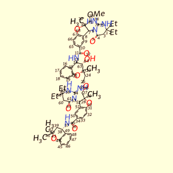 CCC1(CC)CC(=O)N([C@H]2c3cc(C(=O)N[C@@H]4c5ccccc5OC(C)(CCOCC5(C)Oc6ccc(C(=O)N[C@H]7CC(C)(C)Oc8ccccc87)cc6[C@@H]5N5C(=N)NC(CC)(CC)CC5=O)[C@H]4O)ccc3OC2(C)COC)C(=N)N1